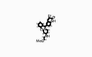 CCc1cc2cc(C(c3ccccc3Cl)N3CCC(NCCOC)CC3)ccc2[nH]c1=O